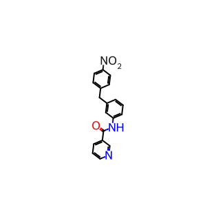 O=C(Nc1cccc(Cc2ccc([N+](=O)[O-])cc2)c1)c1cccnc1